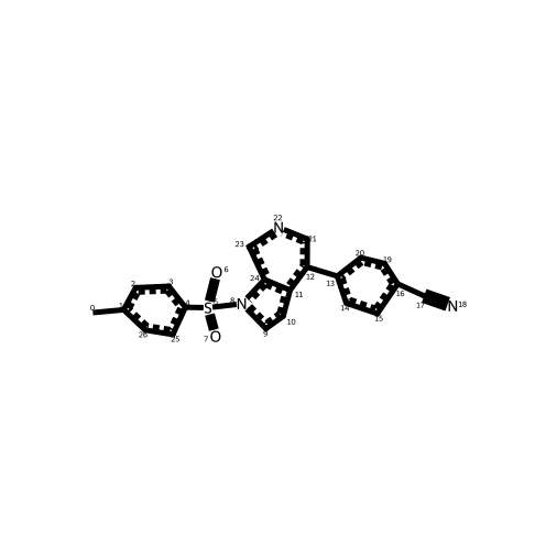 Cc1ccc(S(=O)(=O)n2ccc3c(-c4ccc(C#N)cc4)cncc32)cc1